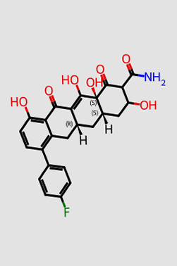 NC(=O)C1C(=O)[C@@]2(O)C(O)=C3C(=O)c4c(O)ccc(-c5ccc(F)cc5)c4C[C@H]3C[C@H]2CC1O